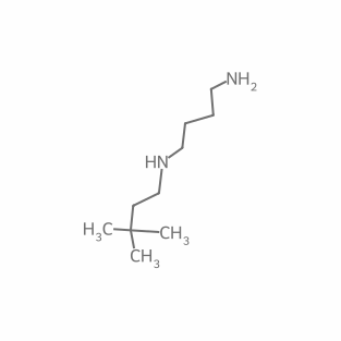 CC(C)(C)CCNCCCCN